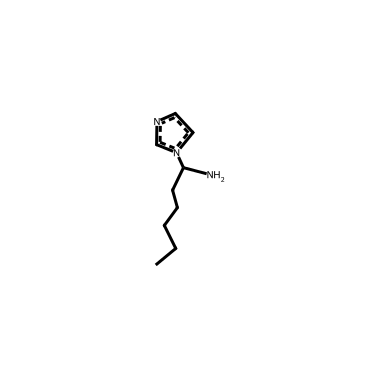 CCCCCC(N)n1ccnc1